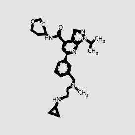 CC(C)n1ncc2c(C(=O)NC3CCOCC3)cc(-c3cccc(CN(C)CCNC4CC4)c3)nc21